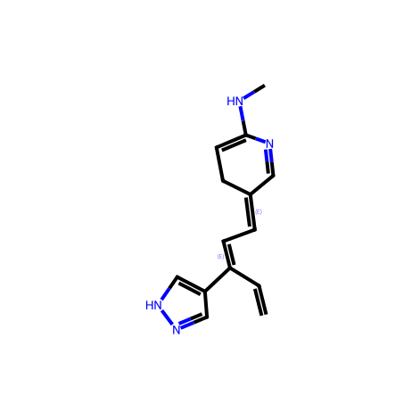 C=C/C(=C\C=C1\C=NC(NC)=CC1)c1cn[nH]c1